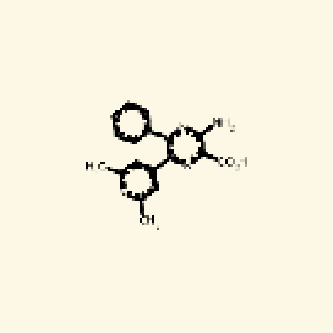 Cc1cc(-c2nc(C(=O)O)c(N)nc2-c2ccccc2)cc(C)n1